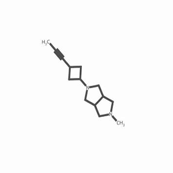 CC#CC1CC(N2CC3CN(C)CC3C2)C1